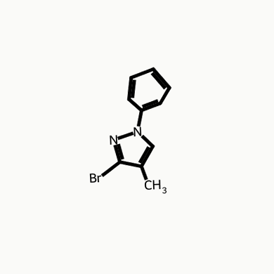 Cc1cn(-c2ccccc2)nc1Br